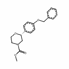 COC(=O)N1CCO[C@H](c2ccc(OCc3ccccc3)cc2)C1